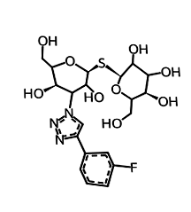 OCC1O[C@@H](S[C@@H]2OC(CO)[C@H](O)C(n3cc(-c4cccc(F)c4)nn3)C2O)C(O)C(O)[C@H]1O